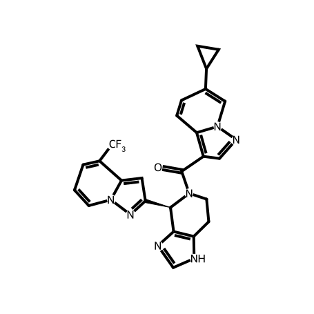 O=C(c1cnn2cc(C3CC3)ccc12)N1CCc2[nH]cnc2[C@H]1c1cc2c(C(F)(F)F)cccn2n1